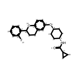 O=C(N[C@H]1CC[C@H](Oc2ccc3c(c2)CCC(c2ccccc2F)O3)CC1)C1CC1